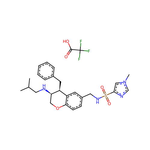 CC(C)CN[C@@H]1COc2ccc(CNS(=O)(=O)c3cn(C)cn3)cc2[C@@H]1Cc1ccccc1.O=C(O)C(F)(F)F